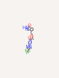 CC(COCCc1cccc2c(=O)[nH]ncc12)C(=O)N1CCN(c2ncc(C(F)(F)F)cn2)CC1